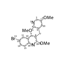 COc1cnc(OC)c(Cc2cc3cc(Br)ccc3nc2OC)c1